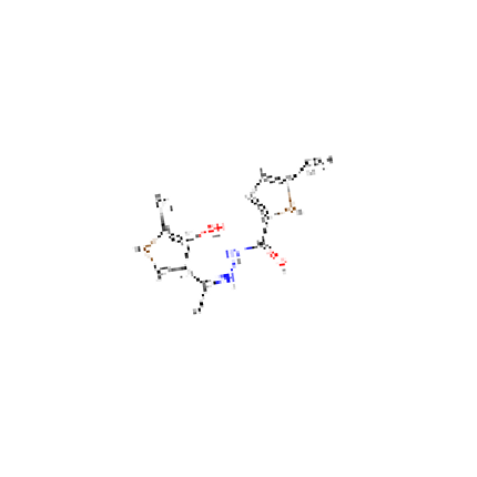 CC(=NNC(=O)c1ccc(C(=O)O)s1)c1csc(C(F)(F)F)c1O